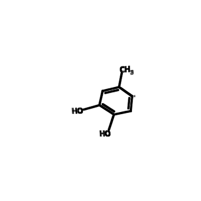 Cc1[c]cc(O)c(O)c1